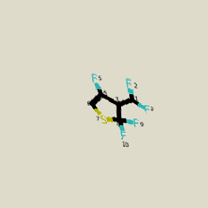 FC(F)C1C(F)CSC1(F)F